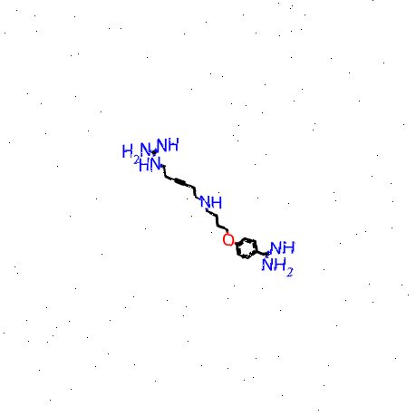 N=C(N)NCCC#CCCNCCCCOc1ccc(C(=N)N)cc1